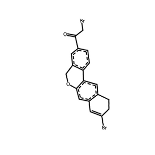 O=C(CBr)c1ccc2c(c1)COc1cc3c(cc1-2)CCC(Br)=C3